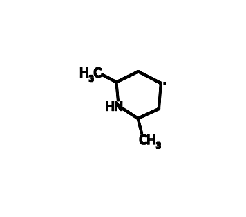 CC1C[CH]CC(C)N1